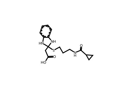 O=C(O)CC1(SCCCNC(=O)C2CC2)Nc2ccccc2N1